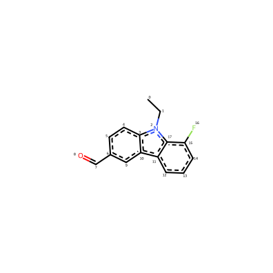 CCn1c2ccc(C=O)cc2c2cccc(F)c21